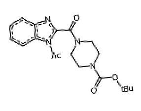 CC(=O)n1c(C(=O)N2CCN(C(=O)OC(C)(C)C)CC2)nc2ccccc21